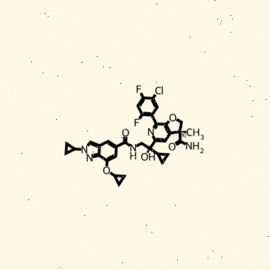 C[C@]1(C(N)=O)COc2c1cc([C@@](O)(CNC(=O)c1cc(OC3CC3)c3nn(C4CC4)cc3c1)C1CC1)nc2-c1cc(Cl)c(F)cc1F